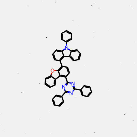 c1ccc(-c2nc(-c3ccccc3)nc(-c3ccc(-c4cccc5c4c4ccccc4n5-c4ccccc4)c4oc5ccccc5c34)n2)cc1